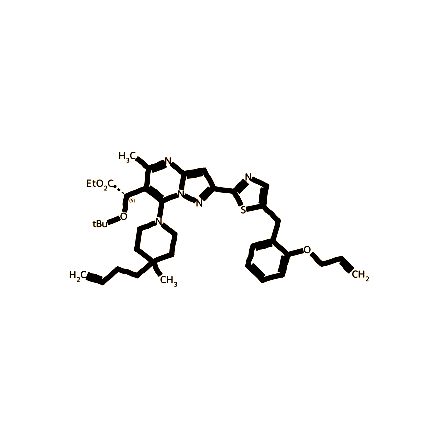 C=CCCC1(C)CCN(c2c([C@H](OC(C)(C)C)C(=O)OCC)c(C)nc3cc(-c4ncc(Cc5ccccc5OCC=C)s4)nn23)CC1